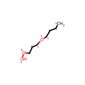 CCCCOCCCOO